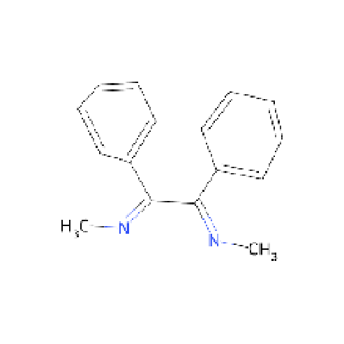 C/N=C(/C(=N/C)c1ccccc1)c1ccccc1